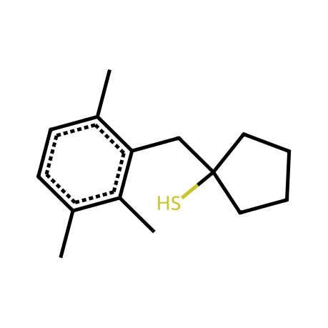 Cc1ccc(C)c(CC2(S)CCCC2)c1C